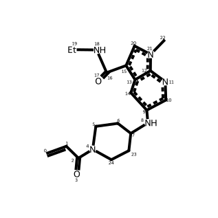 C=CC(=O)N1CCC(Nc2cnc3c(c2)c(C(=O)NCC)cn3C)CC1